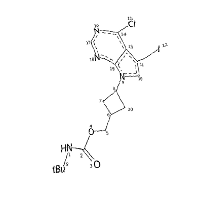 CC(C)(C)NC(=O)OCC1CC(n2cc(I)c3c(Cl)ncnc32)C1